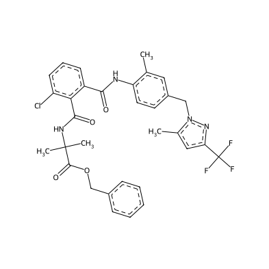 Cc1cc(Cn2nc(C(F)(F)F)cc2C)ccc1NC(=O)c1cccc(Cl)c1C(=O)NC(C)(C)C(=O)OCc1ccccc1